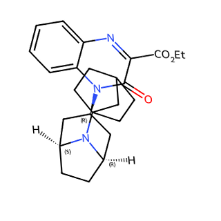 CCOC(=O)c1nc2ccccc2n([C@H]2C[C@H]3CC[C@@H](C2)N3C23CCC(CC2)C3)c1=O